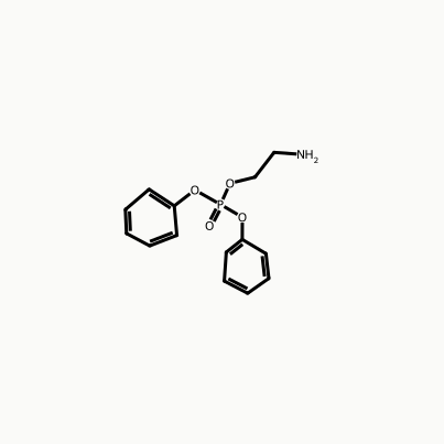 NCCOP(=O)(Oc1ccccc1)Oc1ccccc1